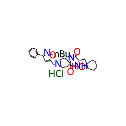 CCCCN1C(=O)[C@@H](CC2(O)CCCCC2)NC(=O)C12CCN(Cc1cc(-c3ccccc3)no1)CC2.Cl